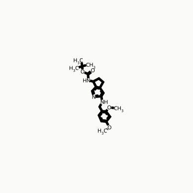 COc1ccc(CNc2cc3c(cn2)C(NC(=O)OC(C)(C)C)CC3)c(OC)c1